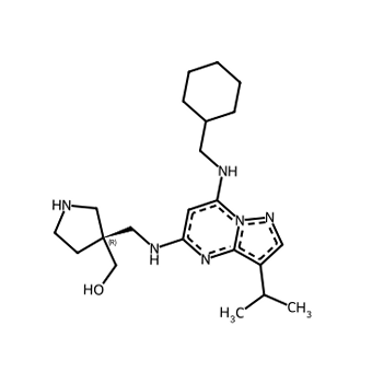 CC(C)c1cnn2c(NCC3CCCCC3)cc(NC[C@@]3(CO)CCNC3)nc12